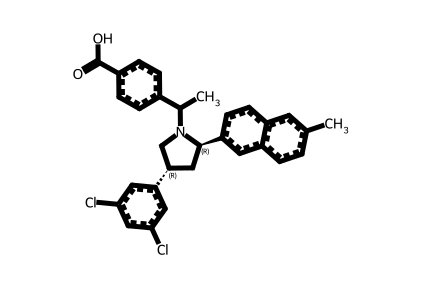 Cc1ccc2cc([C@H]3C[C@H](c4cc(Cl)cc(Cl)c4)CN3C(C)c3ccc(C(=O)O)cc3)ccc2c1